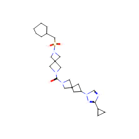 O=C(N1CC2(CC(n3cnc(C4CC4)n3)C2)C1)N1CC2(C1)CN(S(=O)(=O)CC1CCCCC1)C2